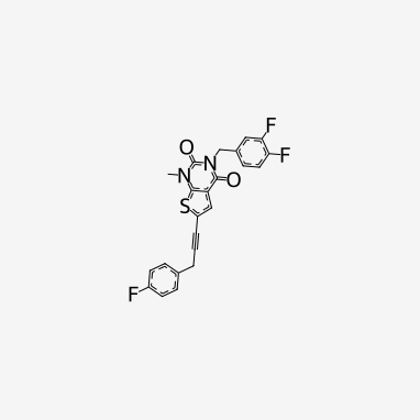 Cn1c(=O)n(Cc2ccc(F)c(F)c2)c(=O)c2cc(C#CCc3ccc(F)cc3)sc21